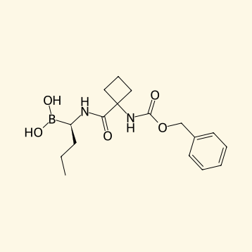 CCC[C@H](NC(=O)C1(NC(=O)OCc2ccccc2)CCC1)B(O)O